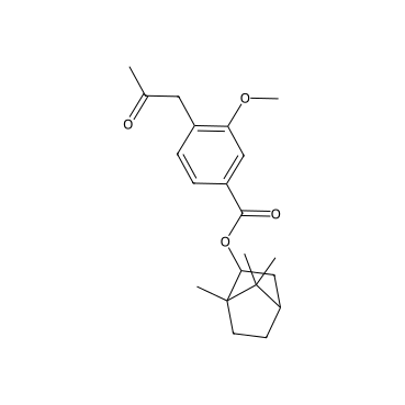 COc1cc(C(=O)OC2CC3CCC2(C)C3(C)C)ccc1CC(C)=O